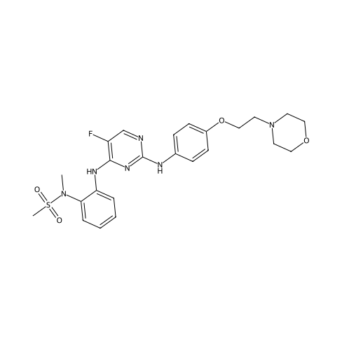 CN(c1ccccc1Nc1nc(Nc2ccc(OCCN3CCOCC3)cc2)ncc1F)S(C)(=O)=O